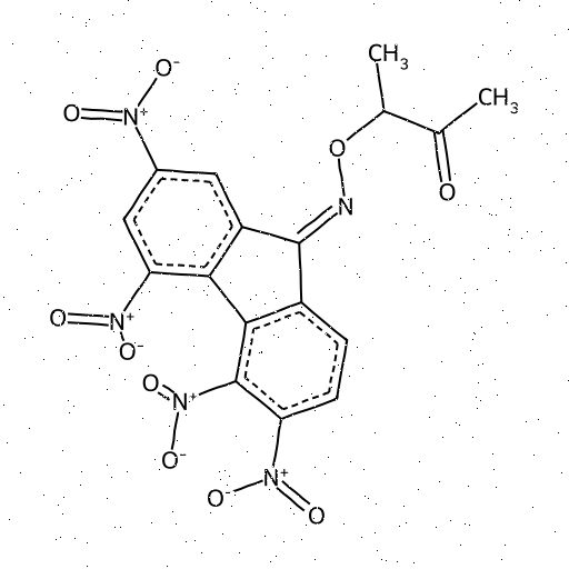 CC(=O)C(C)O/N=C1\c2cc([N+](=O)[O-])cc([N+](=O)[O-])c2-c2c1ccc([N+](=O)[O-])c2[N+](=O)[O-]